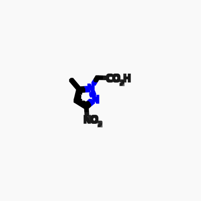 Cc1cc([N+](=O)[O-])nn1CC(=O)O